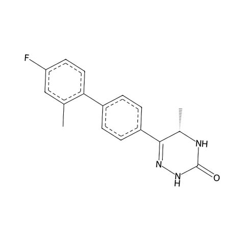 Cc1cc(F)ccc1-c1ccc(C2=NNC(=O)N[C@H]2C)cc1